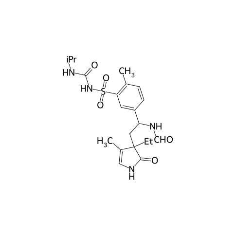 CCC1(CC(NC=O)c2ccc(C)c(S(=O)(=O)NC(=O)NC(C)C)c2)C(=O)NC=C1C